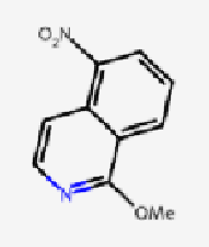 COc1nccc2c([N+](=O)[O-])cccc12